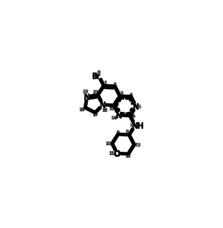 BrC1=Cc2cnc(NC3CCOCC3)nc2N2CCN=C12